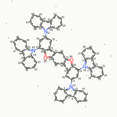 c1ccc2c(c1)c1ccccc1n2-c1cc(-n2c3ccccc3c3ccccc32)c2oc3cc4c(cc3c2c1)oc1c(-n2c3ccccc3c3ccccc32)cc(-n2c3ccccc3c3ccccc32)cc14